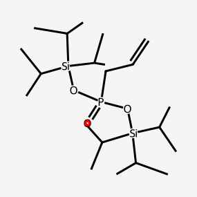 C=CCP(=O)(O[Si](C(C)C)(C(C)C)C(C)C)O[Si](C(C)C)(C(C)C)C(C)C